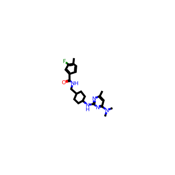 Cc1cc(N(C)C)nc(NC2CCC(CNC(=O)c3ccc(C)c(F)c3)CC2)n1